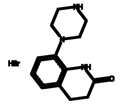 Br.O=C1CCc2cccc(N3CCNCC3)c2N1